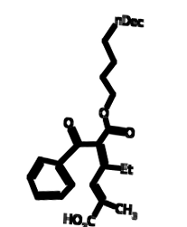 CCCCCCCCCCCCCCOC(=O)C(C(=O)c1ccccc1)=C(C=C(C)C(=O)O)CC